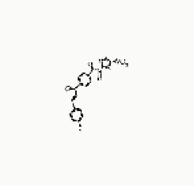 O=C(/C=C/c1ccc(Cl)cc1)c1ccc(C(=O)Nc2ncc([N+](=O)[O-])s2)cc1